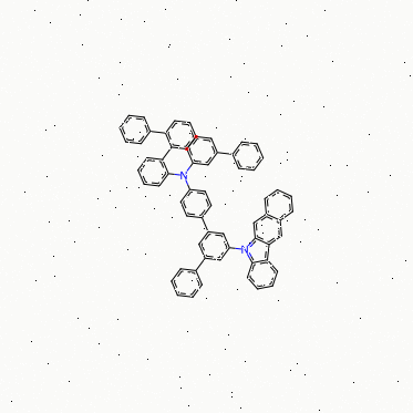 c1ccc(-c2cccc(N(c3ccc(-c4cc(-c5ccccc5)cc(-n5c6ccccc6c6cc7ccccc7cc65)c4)cc3)c3ccccc3-c3ccccc3-c3ccccc3)c2)cc1